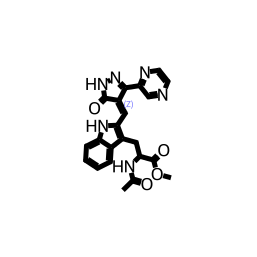 COC(=O)C(Cc1c(/C=C2\C(=O)NN=C2c2cnccn2)[nH]c2ccccc12)NC(C)=O